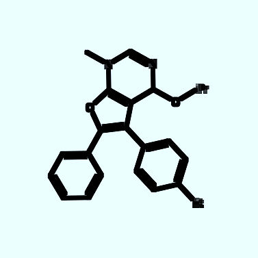 CCc1ccc(-c2c(-c3ccccc3)oc3c2C(OC(C)C)N=CN3C)cc1